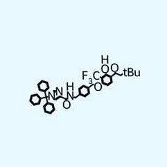 CC(C)(C)CC(=O)c1ccc(OCc2ccc(CNC(=O)c3cn(C(c4ccccc4)(c4ccccc4)c4ccccc4)cn3)cc2)c(C(F)(F)F)c1O